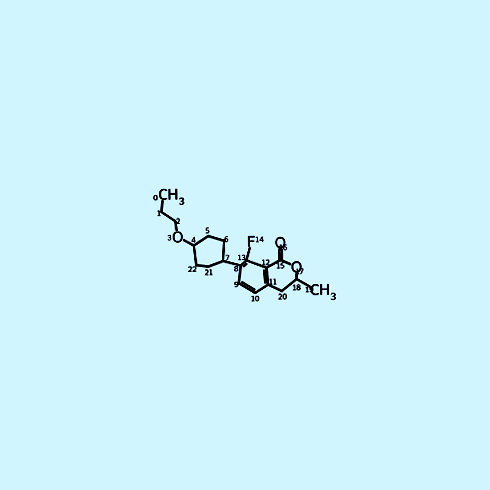 CCCOC1CCC(c2ccc3c(c2F)C(=O)OC(C)C3)CC1